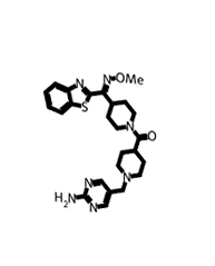 CON=C(c1nc2ccccc2s1)C1CCN(C(=O)C2CCN(Cc3cnc(N)nc3)CC2)CC1